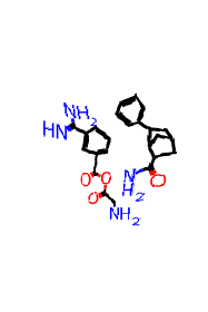 N=C(N)c1cccc(C(=O)OC(=O)CN)c1.NC(=O)C1CC2CC(c3ccccc3)C1C2